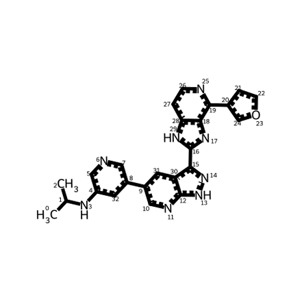 CC(C)Nc1cncc(-c2cnc3[nH]nc(-c4nc5c(-c6ccoc6)nccc5[nH]4)c3c2)c1